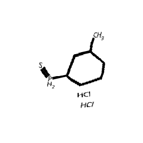 CC1CCCC([PH2]=S)C1.Cl.Cl